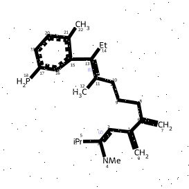 C=C(/C=C(\NC)C(C)C)C(=C)CCC/C(C)=C(\CC)c1cc(P)ccc1C